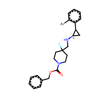 CC(=O)c1ccccc1C1C[C@H]1NCC1(F)CCN(C(=O)OCc2ccccc2)CC1